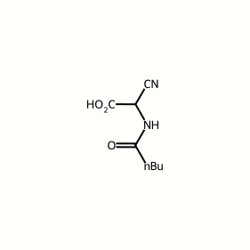 CCCCC(=O)NC(C#N)C(=O)O